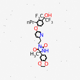 CCCc1cc(C(O)(C(F)(F)F)C(F)(F)F)ccc1Oc1ccc(CCN2C(=O)NC(C)(c3ccc4c(c3)OCCO4)C2=O)nc1